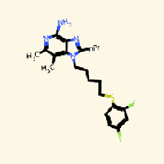 CCCc1nc2c(N)nc(C)c(C)c2n1CCCCCSc1ccc(F)cc1F